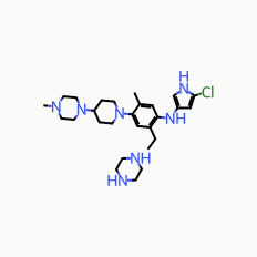 C1CNCCN1.CCc1cc(N2CCC(N3CCN(C)CC3)CC2)c(C)cc1Nc1c[nH]c(Cl)c1